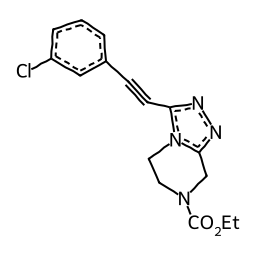 CCOC(=O)N1CCn2c(C#Cc3cccc(Cl)c3)nnc2C1